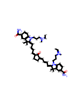 C/C=[N+](/C)CCCN1C(=CC=CC=C2CCC(=CC=CC=C3N(CCC/[N+](C)=C\C)c4ccc(C(N)=O)cc4C3(C)C)C2=O)C(C)(C)c2cc(C(N)=O)ccc21